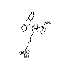 Nc1nc(F)nc2c1nc(C(C1=COCO1)c1ccccc1I)n2CCCCCCOS(N)(=O)=O